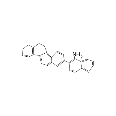 Nc1c(-c2ccc3c4c(ccc3c2)C2=C(CCC=C2)CC4)ccc2ccccc12